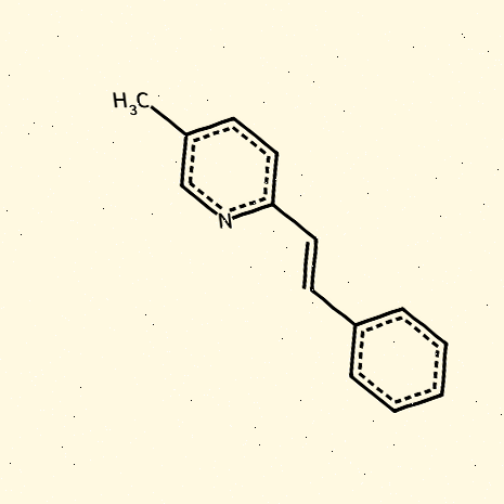 Cc1ccc(C=Cc2ccccc2)nc1